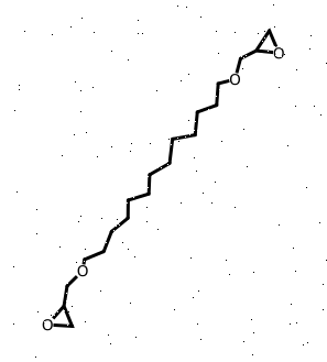 C(CCCCCCOCC1CO1)CCCCCCOCC1CO1